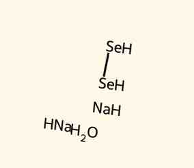 O.[NaH].[NaH].[SeH][SeH]